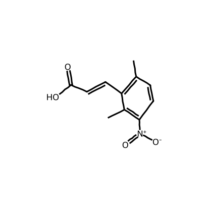 Cc1ccc([N+](=O)[O-])c(C)c1C=CC(=O)O